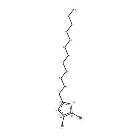 CCCCCCCCCCCCc1cc(Br)c(Br)s1